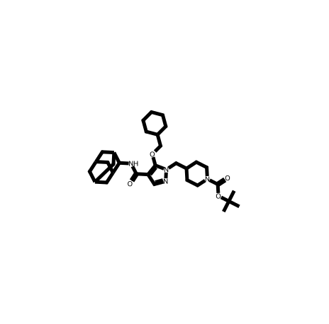 CC(C)(C)OC(=O)N1CCC(Cn2ncc(C(=O)NC3C4CC5CC(C4)CC3C5)c2OCC2CCCCC2)CC1